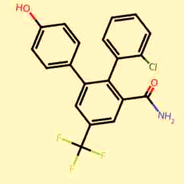 NC(=O)c1cc(C(F)(F)F)cc(-c2ccc(O)cc2)c1-c1ccccc1Cl